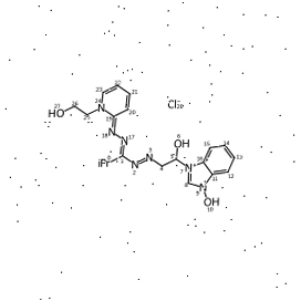 CC(C)C(N=NCC(O)[n+]1cn(O)c2ccccc21)=NN=c1ccccn1CCO.[Cl-]